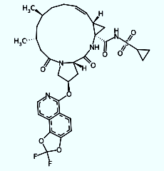 C[C@H]1CC/C=C\[C@@H]2C[C@@]2(C(=O)NS(=O)(=O)C2CC2)NC(=O)[C@@H]2C[C@@H](Oc3nccc4c5c(ccc34)OC(F)(F)O5)CN2C(=O)C[C@H](C)C1